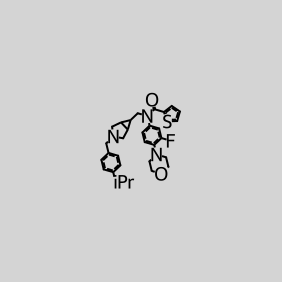 CC(C)c1ccc(CN2CC3C(C2)C3CN(C(=O)c2cccs2)c2ccc(N3CCOCC3)c(F)c2)cc1